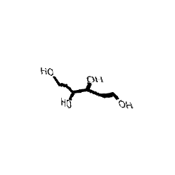 OC=CC(O)C(O)CCO